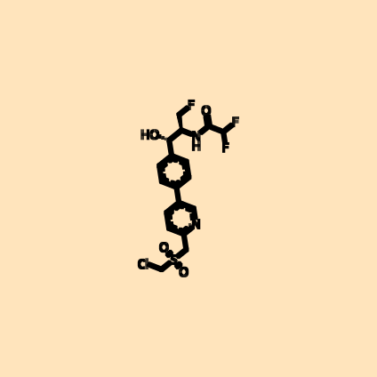 O=C(N[C@H](CF)[C@@H](O)c1ccc(-c2ccc(CS(=O)(=O)CCl)nc2)cc1)C(F)F